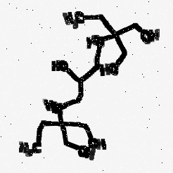 CCC(CO)(CO)NCC(O)CNC(CC)(CO)CO